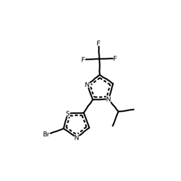 CC(C)n1cc(C(F)(F)F)nc1-c1cnc(Br)s1